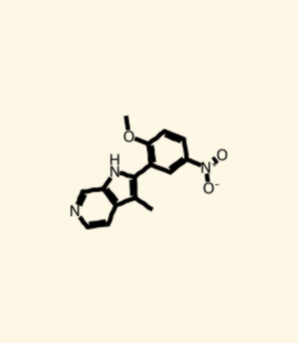 COc1ccc([N+](=O)[O-])cc1-c1[nH]c2cnccc2c1C